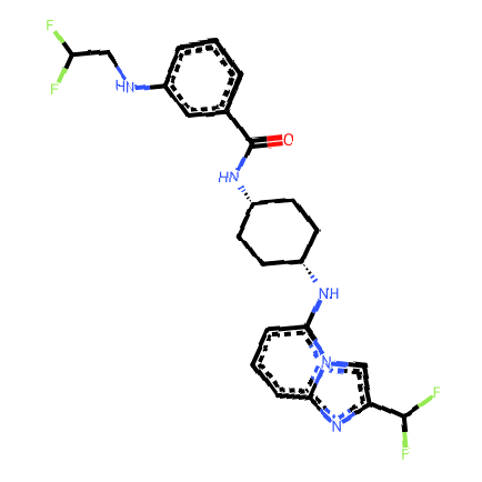 O=C(N[C@H]1CC[C@@H](Nc2cccc3nc(C(F)F)cn23)CC1)c1cccc(NCC(F)F)c1